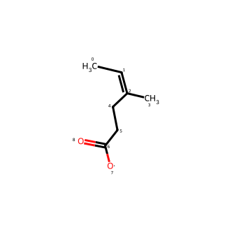 CC=C(C)CCC([O])=O